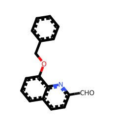 O=Cc1ccc2cccc(OCc3ccccc3)c2n1